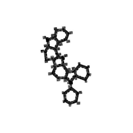 c1ccc(-n2c3ccccc3c3c4sc5c(ccc6sc7ccccc7c65)c4ccc32)cc1